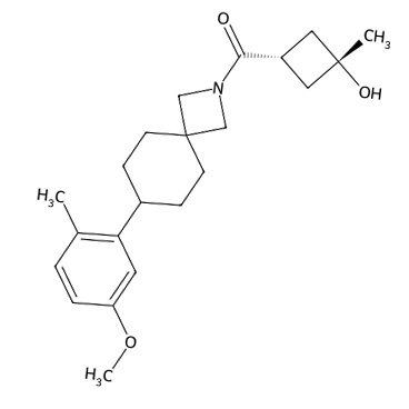 COc1ccc(C)c(C2CCC3(CC2)CN(C(=O)[C@H]2C[C@@](C)(O)C2)C3)c1